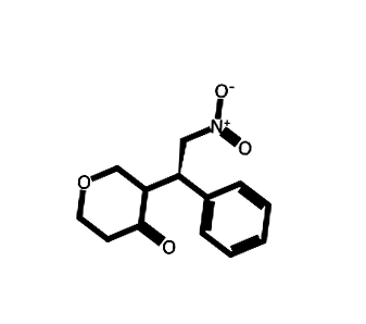 O=C1CCOCC1[C@@H](C[N+](=O)[O-])c1ccccc1